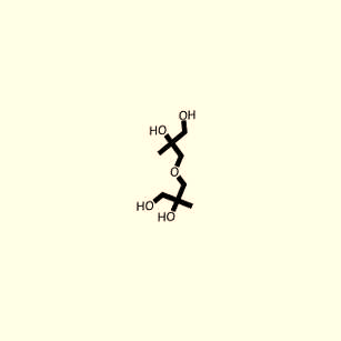 CC(O)(CO)COCC(C)(O)CO